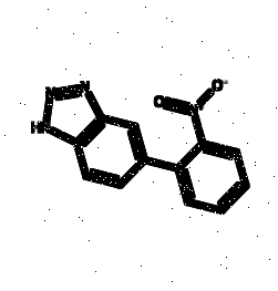 O=[N+]([O-])c1ccccc1-c1ccc2[nH]nnc2c1